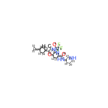 CC(NC(=O)C(F)(F)F)C(Oc1ccc(C(=O)N[C@H]2CCCNC2)nc1)c1ccc(C2CC2)cc1